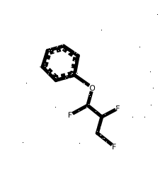 FCC(F)C(F)Oc1c[c]ccc1